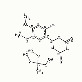 CC(CO)(CO)CO.COc1cc(F)c(C2CC(=O)CC(=O)C2)cc1OC